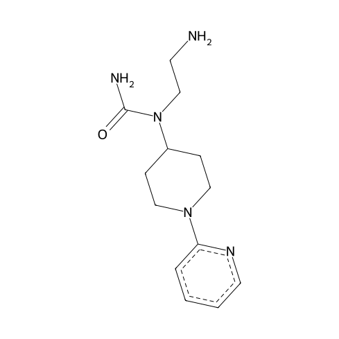 NCCN(C(N)=O)C1CCN(c2ccccn2)CC1